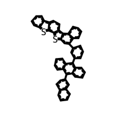 c1cc(-c2c3ccccc3c(-c3ccc4ccccc4c3)c3ccccc23)cc(-c2cc3sc4c(ccc5c6ccccc6sc54)c3c3ccccc23)c1